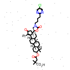 CC(C)C1=C2[C@H]3CC[C@@H]4[C@@]5(C)CC[C@H](OC(=O)CC(C)(C)C(=O)O)C(C)(C)[C@@H]5CC[C@@]4(C)[C@]3(C)CC[C@@]2([C@H]2CN(CCCCc3ncc(Cl)cn3)C(=O)O2)CC1=O